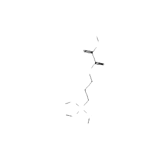 COC(=O)C(=O)OCCC[Si](OC)(OC)OC